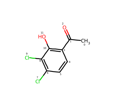 CC(=O)c1ccc(Cl)c(Cl)c1O